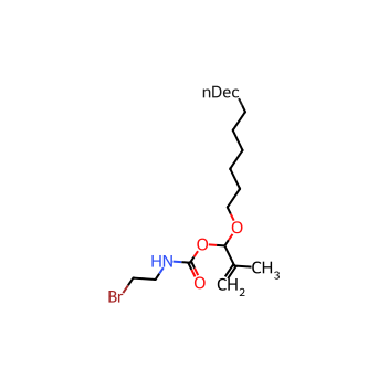 C=C(C)C(OCCCCCCCCCCCCCCCC)OC(=O)NCCBr